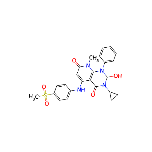 Cn1c2c(c(Nc3ccc(S(C)(=O)=O)cc3)cc1=O)C(=O)N(C1CC1)C(O)N2c1ccccc1